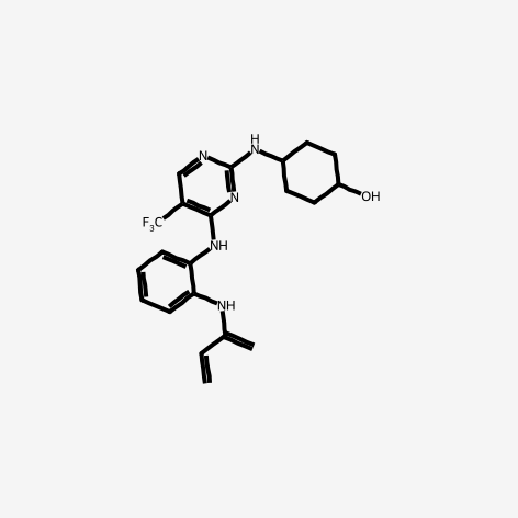 C=CC(=C)Nc1ccccc1Nc1nc(NC2CCC(O)CC2)ncc1C(F)(F)F